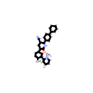 Cc1ccc2c(oc3nc(-c4ccc(-c5ccccc5)cc4)c(C#N)cc32)c1-c1cc(F)cc[n+]1C